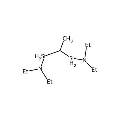 CCN(CC)[SiH2]C(C)[SiH2]N(CC)CC